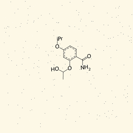 CC(C)Oc1ccc(C(N)=O)c(OC(C)O)c1